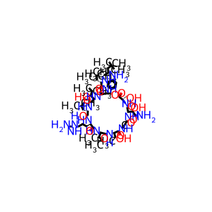 CC[C@H](C)[C@@H]1NC(=O)[C@@H](CCCNC(=N)N)NC(=O)[C@H](CC(C)C)NC(=O)[C@H]([C@H](O)C(C)C)NC(=O)[C@@H](NC(=O)[C@H](CC(C)(C)C)NC(C)[C@@H](N)CC(C)(C)C)[C@@H](c2ccccc2)OC(=O)[C@H](CO)NC(=O)[C@H]([C@H](O)C(N)=O)NC(=O)CNC(=O)[C@H]([C@H](C)O)NC1=O